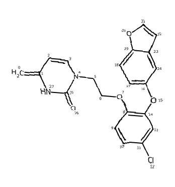 C=C1C=CN(CCOc2ccc(Cl)cc2Oc2ccc3occc3c2)C(=O)N1